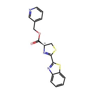 O=C(OCc1cccnc1)[C@H]1CSC(c2nc3ccccc3s2)=N1